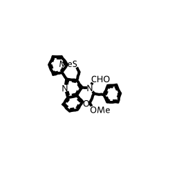 COC(=O)C(c1ccccc1)N(C=O)c1c(CSC)c(-c2ccccc2)nc2ccccc12